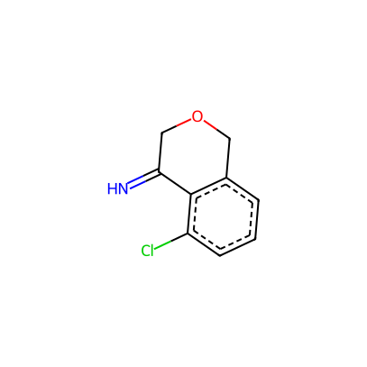 N=C1COCc2cccc(Cl)c21